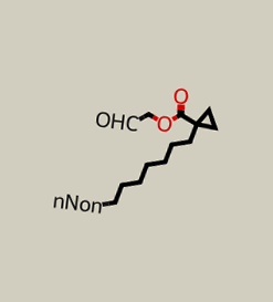 CCCCCCCCCCCCCCCCC1(C(=O)OCC=O)CC1